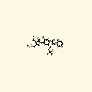 CCc1nn(-c2cc(OCC(F)(F)F)c(C(=O)Nc3c(F)cccc3F)cc2F)c(=O)n1CC